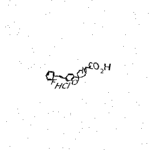 Cl.O=C(O)CCN1CCC2(CC1)COc1cc(/C=C/c3ccccc3F)ccc12